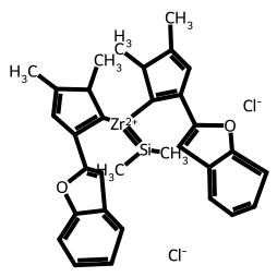 CC1=CC(c2cc3ccccc3o2)=[C]([Zr+2]([C]2=C(c3cc4ccccc4o3)C=C(C)C2C)=[Si](C)C)C1C.[Cl-].[Cl-]